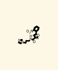 O=C(NCCCn1ccnc1)c1cc(-c2ccccc2[N+](=O)[O-])on1